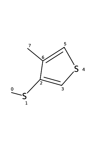 CSc1cscc1C